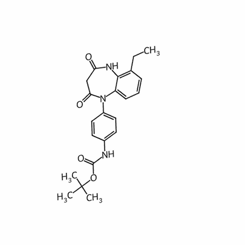 CCc1cccc2c1NC(=O)CC(=O)N2c1ccc(NC(=O)OC(C)(C)C)cc1